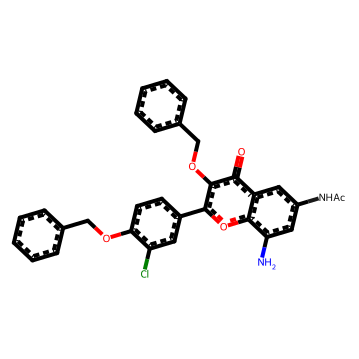 CC(=O)Nc1cc(N)c2oc(-c3ccc(OCc4ccccc4)c(Cl)c3)c(OCc3ccccc3)c(=O)c2c1